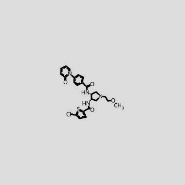 COCCN1C[C@@H](NC(=O)c2ccc(-n3ccccc3=O)cc2)[C@H](NC(=O)c2ccc(Cl)s2)C1